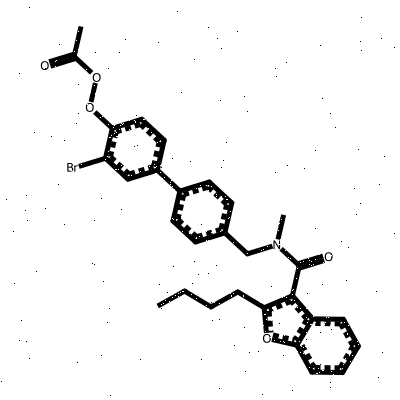 CCCCc1oc2ccccc2c1C(=O)N(C)Cc1ccc(-c2ccc(OOC(C)=O)c(Br)c2)cc1